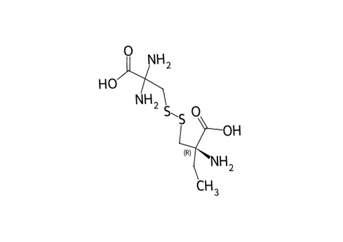 CC[C@](N)(CSSCC(N)(N)C(=O)O)C(=O)O